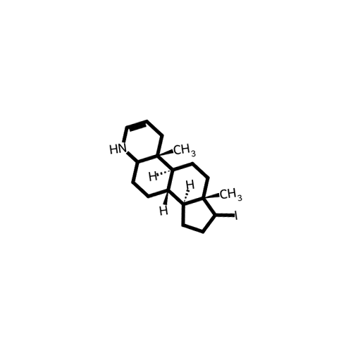 C[C@]12CC=CNC1CC[C@@H]1[C@@H]2CC[C@]2(C)C(I)CC[C@@H]12